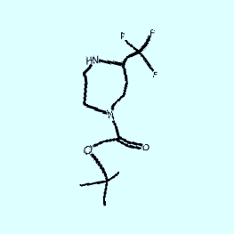 CC(C)(C)OC(=O)N1CCNC(C(F)(F)F)C1